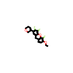 CCOc1ccc2c(c1F)Oc1c(cc(C3=CCCOC3)c(F)c1F)C2